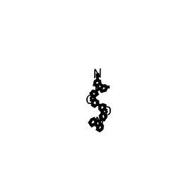 Cc1ccc2c(c1)c1cc(C#N)ccc1n2-c1ccc2oc3ccc(-c4ccc5oc6ccc(-n7c8ccccc8c8ccccc87)cc6c5c4)cc3c2c1